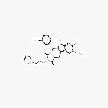 COc1cc2c3c([nH]c2cc1F)[C@@H](c1cccc(O)c1)N1C(=O)N(CCCN2CC=CC2)C(=O)[C@]1(C)C3